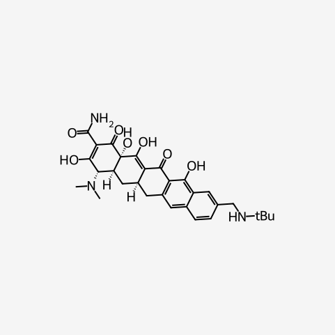 CN(C)[C@@H]1C(O)=C(C(N)=O)C(=O)[C@@]2(O)C(O)=C3C(=O)c4c(cc5ccc(CNC(C)(C)C)cc5c4O)C[C@H]3C[C@@H]12